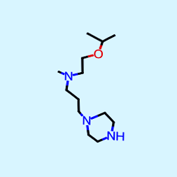 CC(C)OCCN(C)CCCN1CCNCC1